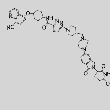 N#Cc1ccc(OC2CCC(NC(=O)c3ccc(N4CCC(CN5CCN(c6ccc7c(c6)CN(C6CCC(=O)NC6=O)C7=O)CC5)CC4)nn3)CC2)c2cccnc12